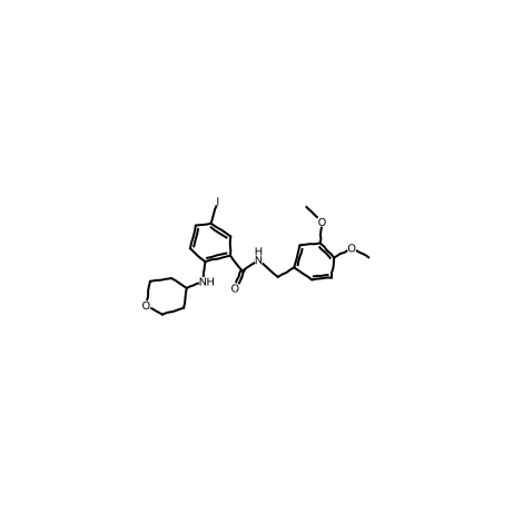 COc1ccc(CNC(=O)c2cc(I)ccc2NC2CCOCC2)cc1OC